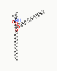 CCCCCCCCCCCCCCCCCCOCC(COC(=O)NCCC(C)C)OCCCCCCCCCCCCCCCCCC